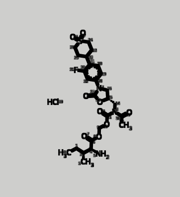 CC[C@H](C)[C@H](N)C(=O)OCOC(=O)N(C[C@H]1CN(c2ccc(C3CCS(=O)(=O)CC3)c(F)c2)C(=O)O1)C(C)=O.Cl